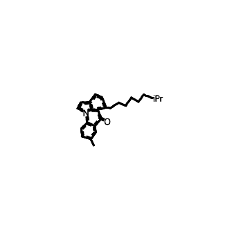 Cc1ccc2c(c1)c(=O)c1c(CCCCCCC(C)C)ccc3ccn2c31